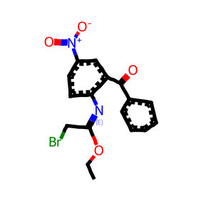 CCO/C(CBr)=N/c1ccc([N+](=O)[O-])cc1C(=O)c1ccccc1